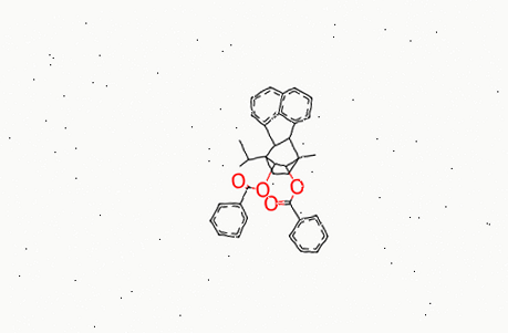 CC(C)C12CCC(C)(C(OC(=O)c3ccccc3)C1OC(=O)c1ccccc1)C1c3cccc4cccc(c34)C12